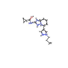 CC(C)CCn1cc(-c2cccc3nc(NC(=O)C4CC4)nn23)cn1